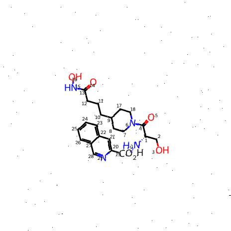 N[C@@H](CO)C(=O)N1CCC(CCCC(=O)NO)CC1.O=C(O)c1cc2ccccc2cn1